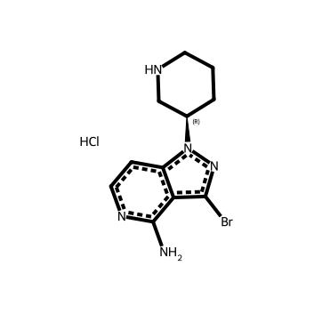 Cl.Nc1nccc2c1c(Br)nn2[C@@H]1CCCNC1